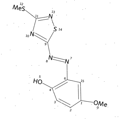 COc1ccc(O)c(/N=N/c2nc(SC)ns2)c1